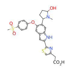 CN1C(O)CCC1c1cc2[nH]c(-c3nc(CC(=O)O)cs3)cc2cc1Oc1ccc(S(C)(=O)=O)cc1